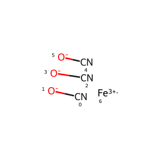 N#C[O-].N#C[O-].N#C[O-].[Fe+3]